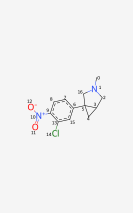 CN1CC2CC2(c2ccc([N+](=O)[O-])c(Cl)c2)C1